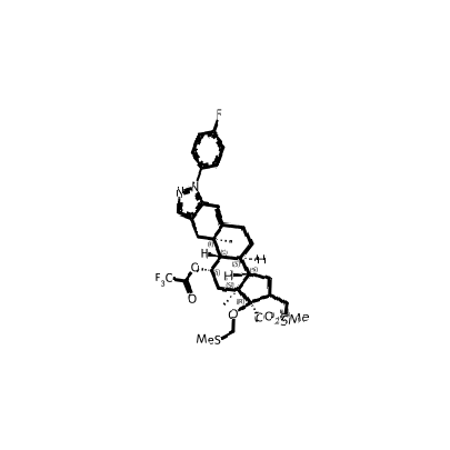 CSCO[C@]1(C(=O)O)C(CSC)C[C@H]2[C@@H]3CCC4=Cc5c(cnn5-c5ccc(F)cc5)C[C@]4(C)[C@H]3[C@@H](OC(=O)C(F)(F)F)C[C@@]21C